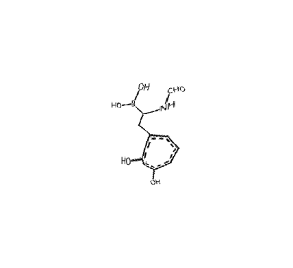 O=CNC(Cc1cccc(O)c1O)B(O)O